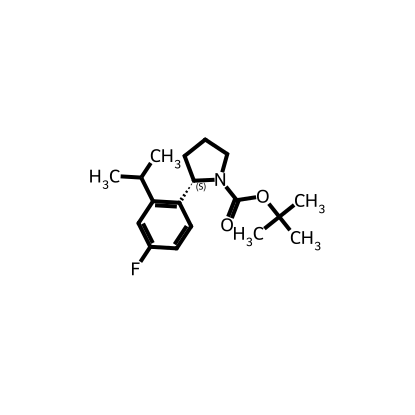 CC(C)c1cc(F)ccc1[C@@H]1CCCN1C(=O)OC(C)(C)C